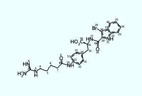 N=C(N)NCCCCC(=O)Nc1ccc(C[C@H](NC(=O)c2[nH]c3ccccc3c2Br)C(=O)O)cc1